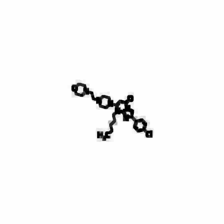 CCCCCn1c(N2CCN(CCN3CCOCC3)CC2)cc(=O)n2cc(-c3ccc(Cl)cc3)nc12